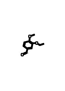 CCOc1cc([C]=O)ccc1OC